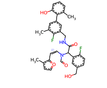 Cc1ccoc1/C=C\N(C=O)C(C(=O)NCc1cc(-c2c(C)cccc2O)cc(C)c1F)c1cc(CO)ccc1F